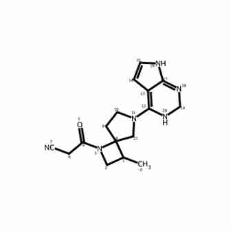 CC1CN(C(=O)CC#N)C12CCN(C1=c3cc[nH]c3=NCN1)C2